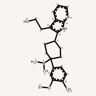 CCOc1cc(C2(N(C)C)CCC(c3[nH]c4ncccc4c3CCO)CC2)ccc1C